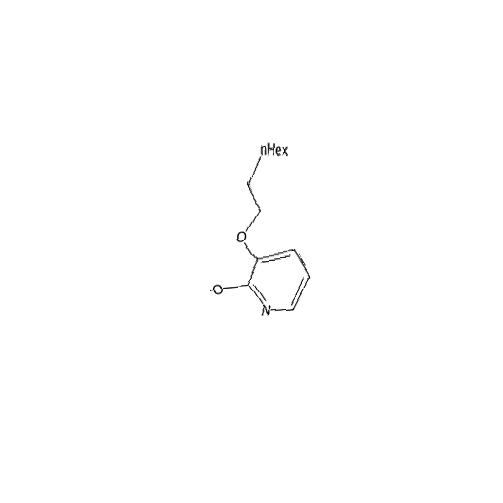 CCCCCCCCOc1cccnc1[O]